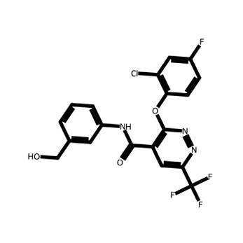 O=C(Nc1cccc(CO)c1)c1cc(C(F)(F)F)nnc1Oc1ccc(F)cc1Cl